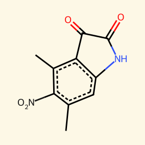 Cc1cc2c(c(C)c1[N+](=O)[O-])C(=O)C(=O)N2